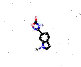 CC(C)n1ccc2ccc(-c3noc(=O)[nH]3)cc21